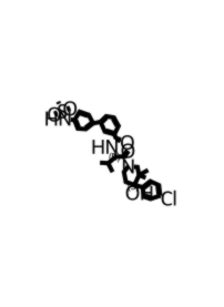 CC(C)[C@@H](NC(=O)c1cccc(-c2ccc(NS(C)(=O)=O)cc2)c1)C(=O)N1CC[C@](O)(c2ccc(Cl)cc2)C(C)(C)C1